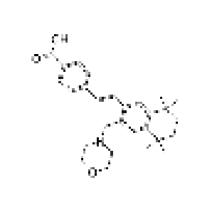 CC1(C)CCC(C)(C)c2cc(CN3CCOCC3)c(/C=C/c3ccc(C(=O)O)cc3)cc21